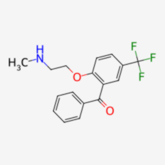 CNCCOc1ccc(C(F)(F)F)cc1C(=O)c1ccccc1